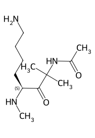 CN[C@@H](CCCCN)C(=O)C(C)(C)NC(C)=O